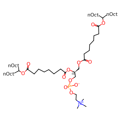 CCCCCCCCC(CCCCCCCC)OC(=O)CCCCCCC(=O)OC[C@@H](COP(=O)([O-])OCC[N+](C)(C)C)OC(=O)CCCCCCC(=O)OC(CCCCCCCC)CCCCCCCC